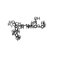 CC(C)(CO)c1cc2cc(NC(=O)C3(c4ccc5c(c4)OC(F)(F)O5)CC3)c(F)cc2n1CC(O)COCCCn1cc(C(=O)Nc2ccc(OCc3ccc(F)c(C(F)(F)F)c3)c(CNCCO)c2)cn1